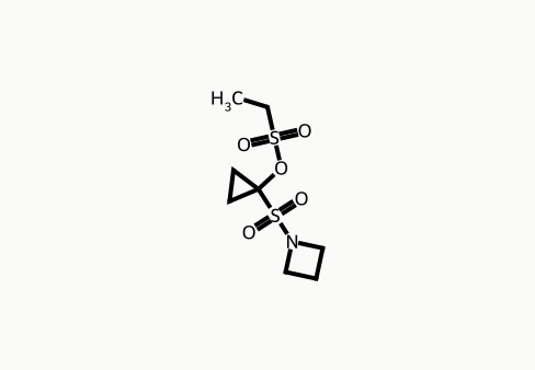 CCS(=O)(=O)OC1(S(=O)(=O)N2CCC2)CC1